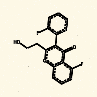 O=c1c(-c2ccccc2F)c(CCO)oc2cccc(F)c12